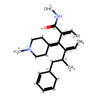 C/C=C(\C(=C1CCN(C)CC1)/C(=C\CC)C(=O)NC=O)C(C)CC1C=CC=CC1